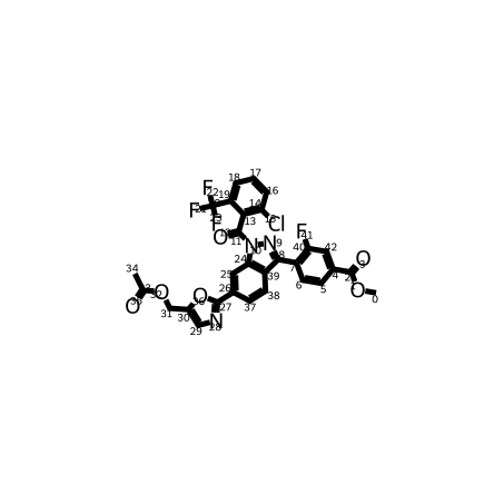 COC(=O)c1ccc(-c2nn(C(=O)c3c(Cl)cccc3C(F)(F)F)c3cc(-c4ncc(COC(C)=O)o4)ccc23)c(F)c1